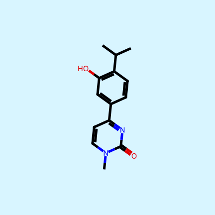 CC(C)c1ccc(-c2ccn(C)c(=O)n2)cc1O